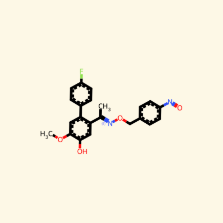 COc1cc(-c2ccc(F)cc2)c(/C(C)=N/OCc2ccc(N=O)cc2)cc1O